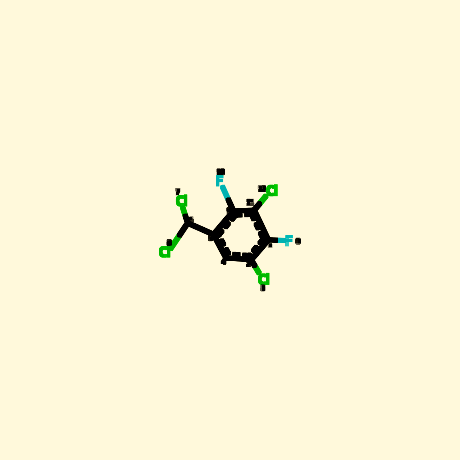 Fc1c(Cl)cc(C(Cl)Cl)c(F)c1Cl